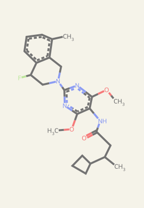 COc1nc(N2Cc3c(C)cccc3C(F)C2)nc(OC)c1NC(=O)CC(C)C1CCC1